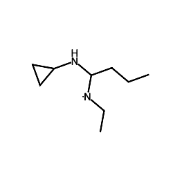 CCCC([N]CC)NC1CC1